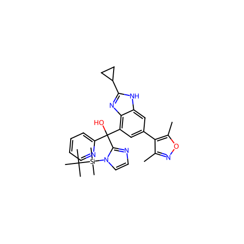 Cc1noc(C)c1-c1cc(C(O)(c2ccccn2)c2nccn2[Si](C)(C)C(C)(C)C)c2nc(C3CC3)[nH]c2c1